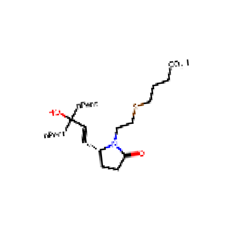 CCCCCC(O)(C=C[C@H]1CCC(=O)N1CCSCCCC(=O)O)CCCCC